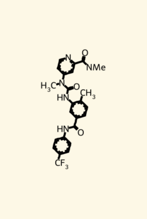 CNC(=O)c1cc(N(C)C(=O)Nc2cc(C(=O)Nc3ccc(C(F)(F)F)cc3)ccc2C)ccn1